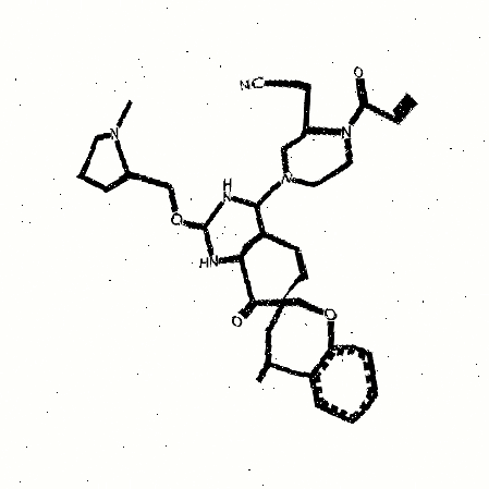 C=CC(=O)N1CCN(C2NC(OCC3CCCN3C)NC3C(=O)[C@@]4(CCC32)CC(C)c2ccccc2O4)CC1CC#N